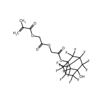 C=C(C)C(=O)OCC(=O)OCC(=O)OC12C(F)(F)C3(O)C(F)(F)C(F)(C(F)(F)C(F)(C3(F)F)C1(F)F)C2(F)F